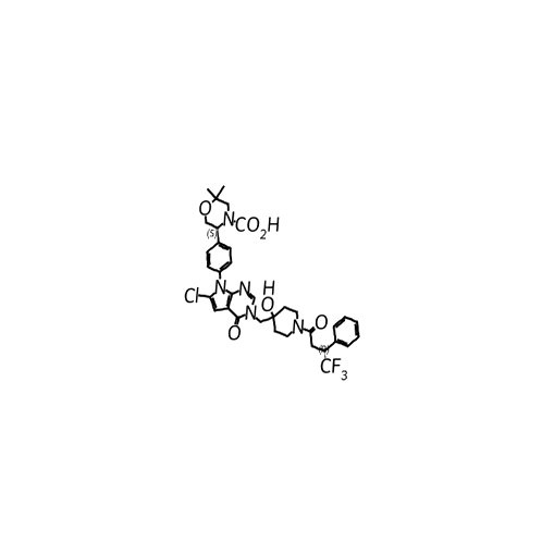 CC1(C)CN(C(=O)O)[C@@H](c2ccc(-n3c(Cl)cc4c(=O)n(CC5(O)CCN(C(=O)C[C@H](c6ccccc6)C(F)(F)F)CC5)cnc43)cc2)CO1